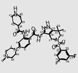 CN1CCN(c2ccc(C(=O)Nc3n[nH]c4c3CN(S(=O)(=O)c3cc(F)cc(F)c3)CC4(C)C)c(NC(=O)C3CCNCC3)c2)CC1